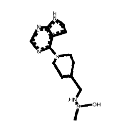 CB(O)NCC1CCN(c2ncnc3[nH]ccc23)CC1